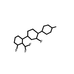 CC1CCC(C2CCC(C3CCCC(F)C3C(F)F)CC2F)CC1